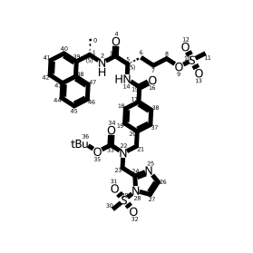 C[C@H](NC(=O)[C@H](CCCOS(C)(=O)=O)NC(=O)c1ccc(CN(Cc2nccn2S(C)(=O)=O)C(=O)OC(C)(C)C)cc1)c1cccc2ccccc12